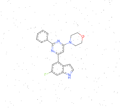 Fc1cc(-c2cc(N3CCOCC3)nc(-c3ccccc3)n2)c2cc[nH]c2c1